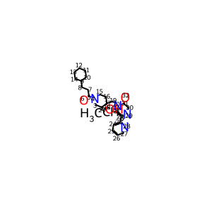 CC1(C)CN(C(=O)CCC2CCCCC2)CCC1(O)Cn1cc(-c2ccccn2)ncc1=O